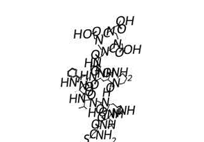 CSCC[C@H](N)C(=O)NC(=O)[C@H](CC(C)C)NC(=O)[C@H](Cc1c[nH]cn1)NC(=O)CNC(=O)[C@@H](NC(=O)[C@H](C)NC(=O)[C@H](Cc1c[nH]c2ccccc12)NC(=O)[C@H](CC(C(N)=O)C(=O)N1CCCCC1)NC(=O)CNC(=O)CN1CCN(CC(=O)O)CCN(CC(=O)O)CCN(CC(=O)O)CC1)C(C)C